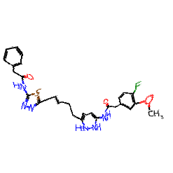 COc1cc(CC(=O)NC2=CC=C(CCCCc3nnc(NC(=O)Cc4ccccc4)s3)NN2)ccc1F